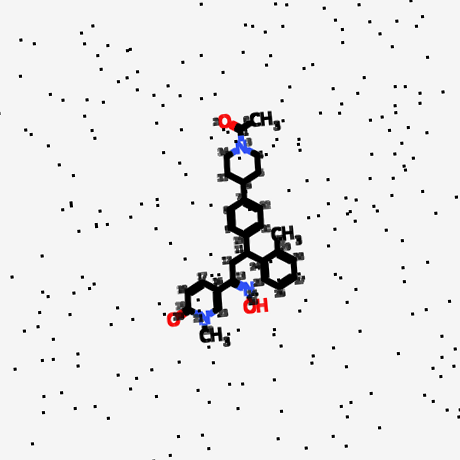 CC(=O)N1CCC(c2ccc(C(CC(=NO)c3ccc(=O)n(C)c3)c3ccccc3C)cc2)CC1